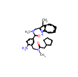 Cc1c(CN(C)C(=O)c2ccc(N)c(CN(C)C(=O)CC3CCCC3)c2)[nH]c2ccccc12